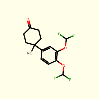 N#CC1(c2ccc(OC(F)F)c(OC(F)F)c2)CCC(=O)CC1